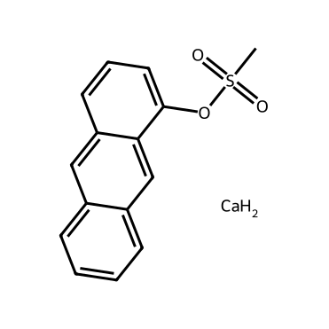 CS(=O)(=O)Oc1cccc2cc3ccccc3cc12.[CaH2]